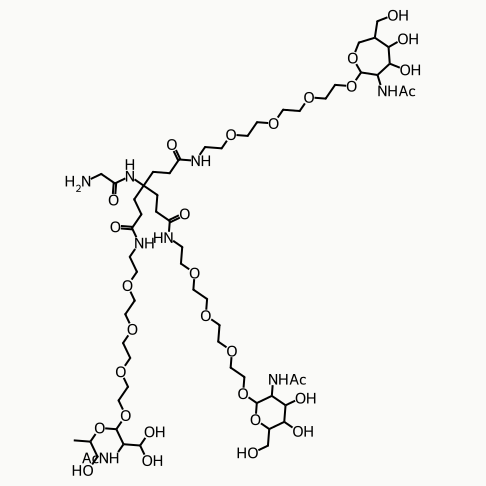 CC(=O)NC(C(O)O)C(OCCOCCOCCOCCNC(=O)CCC(CCC(=O)NCCOCCOCCOCCOC1OCC(CO)C(O)C(O)C1NC(C)=O)(CCC(=O)NCCOCCOCCOCCOC1OC(CO)C(O)C(O)C1NC(C)=O)NC(=O)CN)OC(C)CO